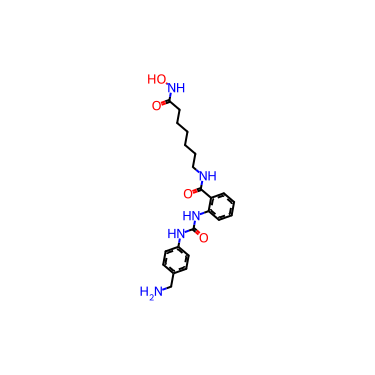 NCc1ccc(NC(=O)Nc2ccccc2C(=O)NCCCCCCC(=O)NO)cc1